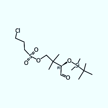 CC(C)(COS(=O)(=O)CCCCl)[C@H](C=O)O[Si](C)(C)C(C)(C)C